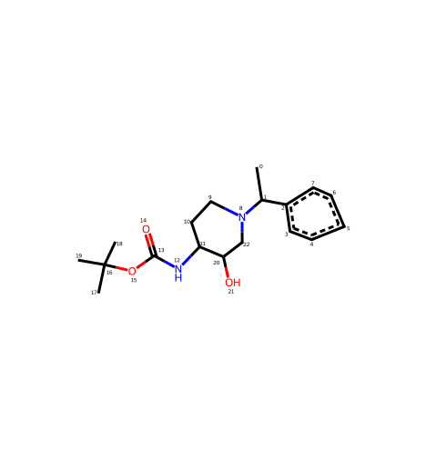 CC(c1ccccc1)N1CCC(NC(=O)OC(C)(C)C)C(O)C1